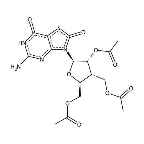 CC(=O)OC[C@H]1[C@@H](OC(C)=O)[C@H](n2c(=O)sc3c(=O)[nH]c(N)nc32)O[C@@H]1COC(C)=O